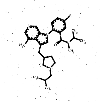 Cc1cncc2c1c(CC1CCN(CC(C)N)C1)cn2-c1ccc(F)cc1C(=O)N(C)C(C)C